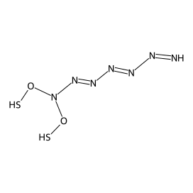 N=N/N=N/N=N/N(OS)OS